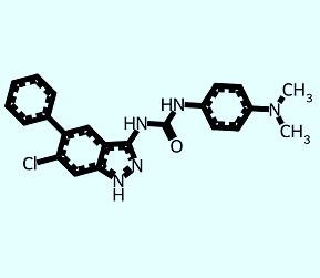 CN(C)c1ccc(NC(=O)Nc2n[nH]c3cc(Cl)c(-c4ccccc4)cc23)cc1